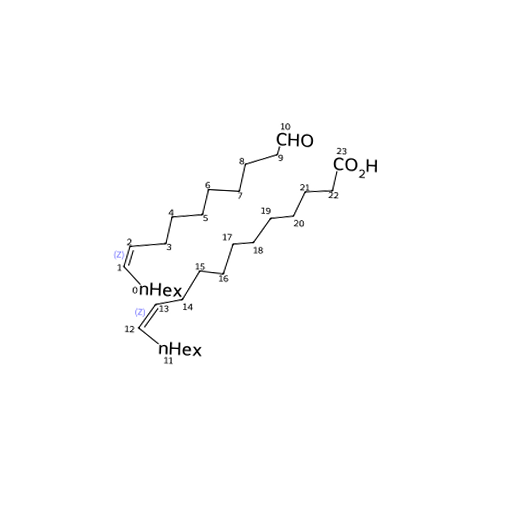 CCCCCC/C=C\CCCCCCCC=O.CCCCCC/C=C\CCCCCCCCCC(=O)O